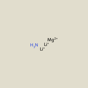 N.[Li+].[Li+].[Mg+2]